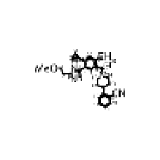 COCCc1nnc(-c2cc(C(=O)N3CCC(c4ccccc4C#N)CC3)c(C)cc2C2CC2)[nH]1